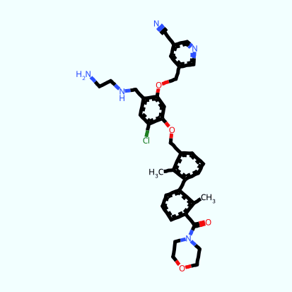 Cc1c(COc2cc(OCc3cncc(C#N)c3)c(CNCCN)cc2Cl)cccc1-c1cccc(C(=O)N2CCOCC2)c1C